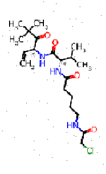 C=C[C@H](NC(=O)[C@@H](NC(=O)CCCCNC(=O)CCl)C(C)C)C(=O)C(C)(C)C